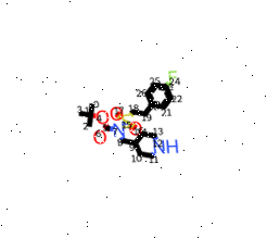 CC(C)(C)OC(=O)N(CC1CCNCC1)S(=O)(=O)CCc1ccc(F)cc1